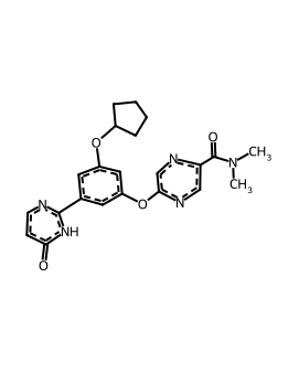 CN(C)C(=O)c1cnc(Oc2cc(OC3CCCC3)cc(-c3nccc(=O)[nH]3)c2)cn1